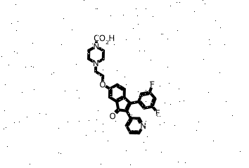 O=C1C(c2cccnc2)=C(c2cc(F)cc(F)c2)c2ccc(OCCN3CCN(C(=O)O)CC3)cc21